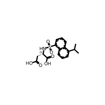 CC(C)c1cccc2c(S(=O)(=O)N[C@@H](CC(=O)O)C(=O)O)cccc12